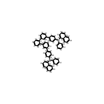 c1ccc(N(c2ccc(-c3cccc(-c4ccccc4-c4cccc(-c5ccc(N(c6ccccc6)c6cccc7ccccc67)cc5)c4)c3)cc2)c2cccc3ccccc23)cc1